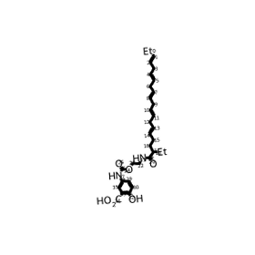 CCC=CCC=CCC=CCC=CCC=CCCC(CC)C(=O)NCCOC(=O)Nc1ccc(O)c(C(=O)O)c1